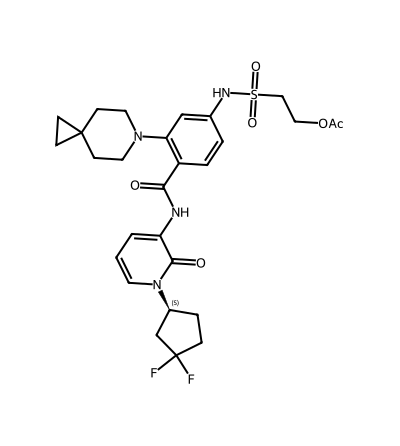 CC(=O)OCCS(=O)(=O)Nc1ccc(C(=O)Nc2cccn([C@H]3CCC(F)(F)C3)c2=O)c(N2CCC3(CC2)CC3)c1